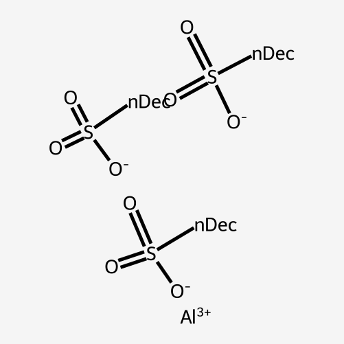 CCCCCCCCCCS(=O)(=O)[O-].CCCCCCCCCCS(=O)(=O)[O-].CCCCCCCCCCS(=O)(=O)[O-].[Al+3]